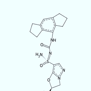 C[C@@H]1Cn2ncc([S@@](N)(=O)=NC(=O)Nc3c4c(cc5c3CCC5)CCC4)c2O1